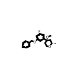 CO[C@]1(c2cc(F)cc(OCc3ccccc3)c2)CCO[C@@H](C)C1